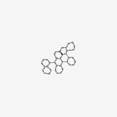 c1ccc(-c2c3ccccc3c(-c3cccc4ccccc34)c3ccccc23)c(-c2cccc3ccccc23)c1